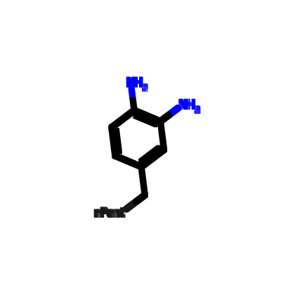 CCCCCCc1ccc(N)c(N)c1